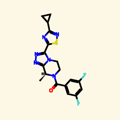 C[C@@H]1c2nnc(-c3nc(C4CC4)ns3)n2CCN1C(=O)c1cc(F)cc(F)c1